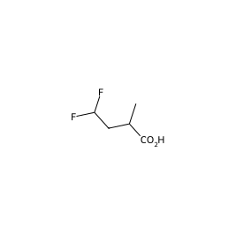 CC(CC(F)F)C(=O)O